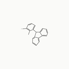 [CH2]c1cccc(C2c3ccccc3-c3ccccc32)c1C